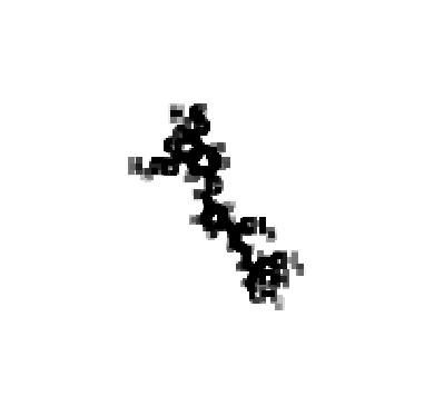 CCC(O)(CC)CC/C=C(\C)c1cc(COc2ccc(C(=O)OC)c(C(=O)OC)c2)cs1